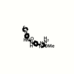 COc1cnc(-c2ccc(NC(=O)Nc3ccc(N4CCSCC4)cc3)cc2)nc1N